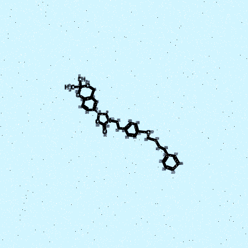 CC1(C)OCc2cc([C@@H]3CN(CCc4ccc(OCCCCc5ccccc5)cc4)C(=O)O3)ccc2O1